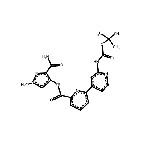 Cn1cc(NC(=O)c2cccc(-c3ccnc(NC(=O)OC(C)(C)C)c3)n2)c(C(N)=O)n1